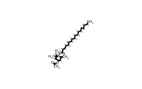 C=C1CC(OC(C)=O)CC(C)(C)N1OC(=O)CCCCCCCCCCCCCCCCC